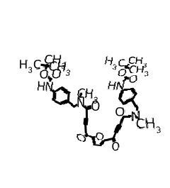 CN(Cc1ccc(NC(=O)OC(C)(C)C)cc1)C(=O)C#CC(=O)c1ccc(C(=O)C#CC(=O)N(C)Cc2ccc(NC(=O)OC(C)(C)C)cc2)o1